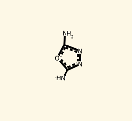 [NH]c1nnc(N)o1